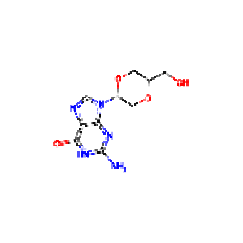 Nc1nc2c(ncn2C2COC(CO)CO2)c(=O)[nH]1